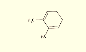 CC1=CCCC=C1S